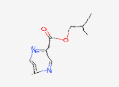 CC(C)COC(=O)c1cn[c]cn1